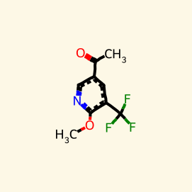 COc1ncc(C(C)=O)cc1C(F)(F)F